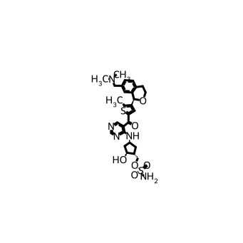 Cc1sc(C(=O)c2cncnc2N[C@@H]2C[C@H](COS(N)(=O)=O)[C@@H](O)C2)cc1[C@@H]1OCCc2ccc(CN(C)C)cc21